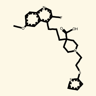 COc1ccc2ncc(F)c(CCCC3(C(=O)O)CCN(CCSc4cccs4)CC3)c2c1